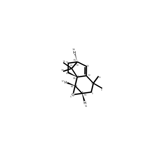 CC1(C)C[C@@H]2O[C@@H]2[C@@]23CC[C@@H](C=C12)C3(C)C